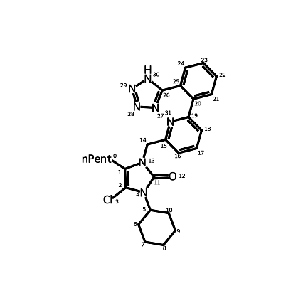 CCCCCc1c(Cl)n(C2CCCCC2)c(=O)n1Cc1cccc(-c2ccccc2-c2nnn[nH]2)n1